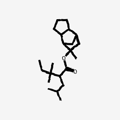 CCC(C)(C)C(CC(C)C)C(=O)OC1(C)CC2CC1C1CCCC21